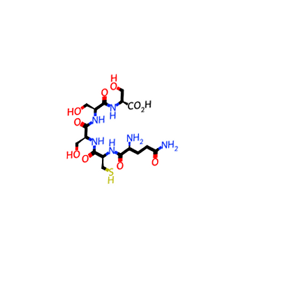 NC(=O)CC[C@H](N)C(=O)N[C@@H](CS)C(=O)N[C@@H](CO)C(=O)N[C@@H](CO)C(=O)N[C@@H](CO)C(=O)O